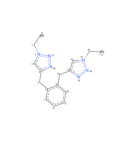 CC(C)Cn1cc(Cc2ccccc2Cc2cn(CC(C)C)nn2)nn1